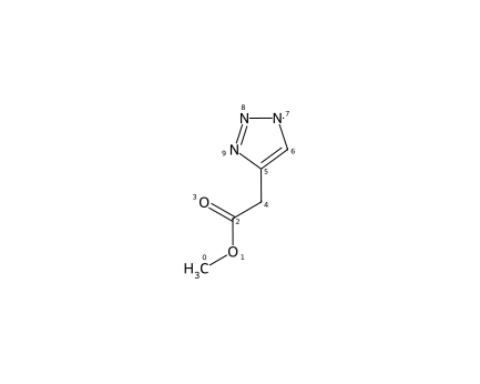 COC(=O)CC1=C[N]N=N1